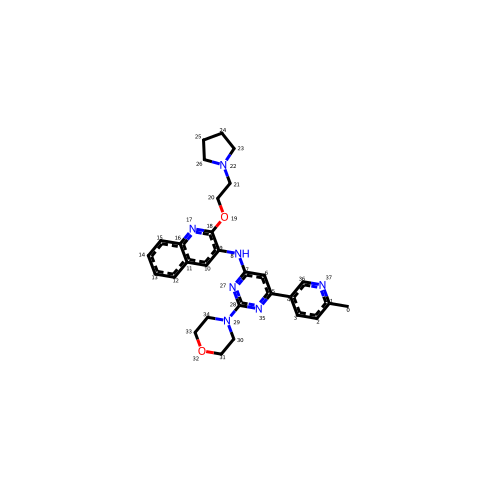 Cc1ccc(-c2cc(Nc3cc4ccccc4nc3OCCN3CCCC3)nc(N3CCOCC3)n2)cn1